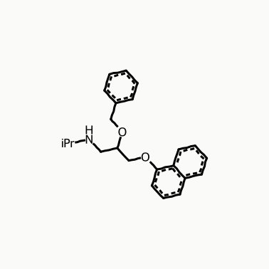 CC(C)NCC(COc1cccc2ccccc12)OCc1ccccc1